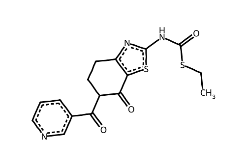 CCSC(=O)Nc1nc2c(s1)C(=O)C(C(=O)c1cccnc1)CC2